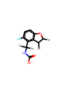 [2H]C1Oc2ccc(F)c(C([2H])([2H])NC(=O)O)c2C1[2H]